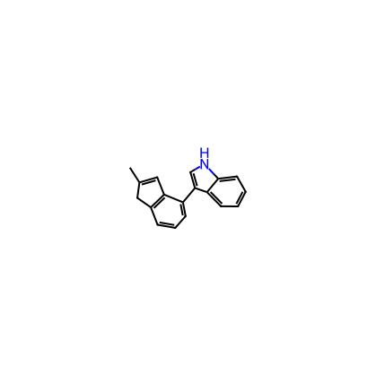 CC1=Cc2c(cccc2-c2c[nH]c3ccccc23)C1